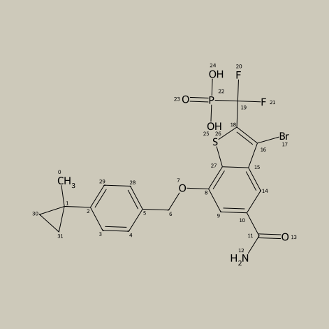 CC1(c2ccc(COc3cc(C(N)=O)cc4c(Br)c(C(F)(F)P(=O)(O)O)sc34)cc2)CC1